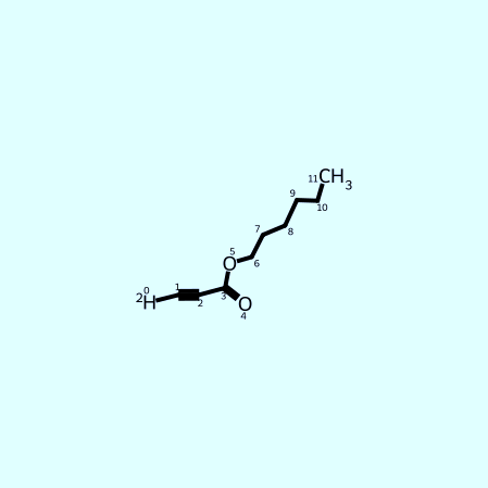 [2H]C#CC(=O)OCCCCCC